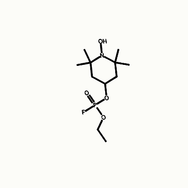 CCOP(=O)(F)OC1CC(C)(C)N(O)C(C)(C)C1